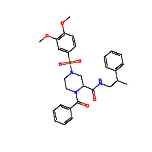 COc1ccc(S(=O)(=O)N2CCN(C(=O)c3ccccc3)C(C(=O)NCC(C)c3ccccc3)C2)cc1OC